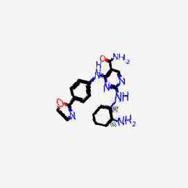 NC(=O)c1cnc(N[C@@H]2CCCC[C@@H]2N)nc1Nc1ccc(-c2ncco2)cc1